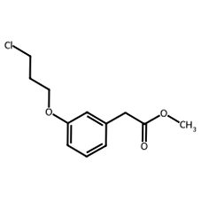 COC(=O)Cc1cccc(OCCCCl)c1